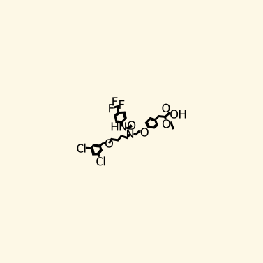 CCOC(Cc1ccc(OCCN(CCCCOCc2cc(Cl)cc(Cl)c2)C(=O)Nc2ccc(C(F)(F)F)cc2)cc1)C(=O)O